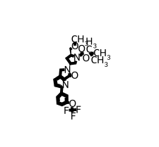 COC[C@@H]1C[C@@H](N2Cc3ccc(-c4cccc(OC(F)(F)F)c4)nc3C2=O)CN1C(=O)OC(C)(C)C